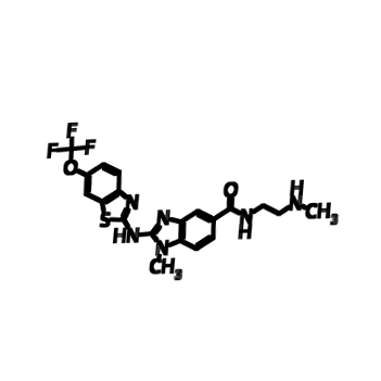 CNCCNC(=O)c1ccc2c(c1)nc(Nc1nc3ccc(OC(F)(F)F)cc3s1)n2C